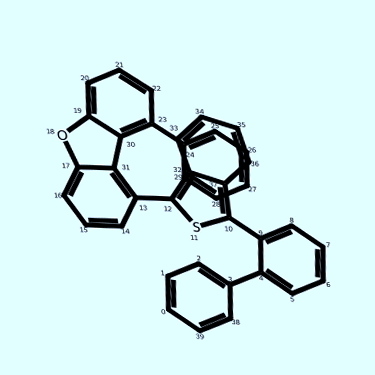 c1ccc(-c2ccccc2-c2sc(-c3cccc4oc5cccc(-c6ccccc6)c5c34)c3ccccc23)cc1